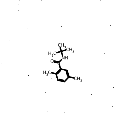 Cc1ccc(C)c(C(=O)NC(C)(C)C)c1